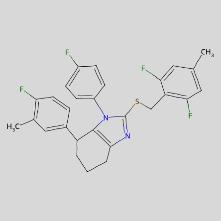 Cc1cc(F)c(CSc2nc3c(n2-c2ccc(F)cc2)C(c2ccc(F)c(C)c2)CCC3)c(F)c1